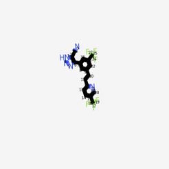 N#Cc1[nH]nnc1-c1cc(/C=C/c2ccc(C(F)(F)F)cn2)cc(C(F)(F)F)c1